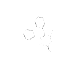 CC1CC(=O)NN=C1c1ccccc1-c1ccccc1